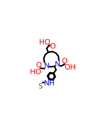 O=C(O)CC1CCCCN(CC(=O)O)C(Cc2ccc(NC=S)cc2)CN(CC(=O)O)CCC1